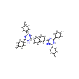 CC1=CCC(C2N=C(c3ccc(C)cc3)N=C(c3ccc4cc(C5=NC(c6ccc(C)cc6)=NC(c6ccc(C)cc6)N5)ccc4c3)N2)C=C1